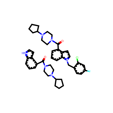 O=C(c1cccc2[nH]ccc12)N1CCN(C2CCCC2)CC1.O=C(c1cccc2c1ccn2Cc1ccc(F)cc1Cl)N1CCN(C2CCCC2)CC1